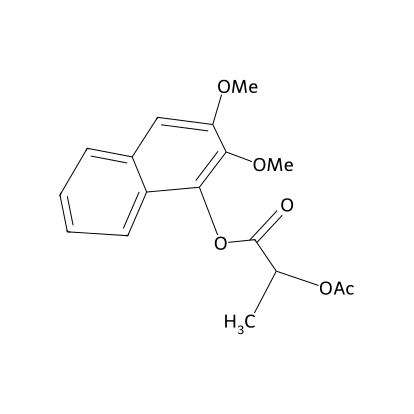 COc1cc2ccccc2c(OC(=O)C(C)OC(C)=O)c1OC